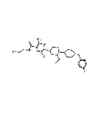 CC[C@H]1CN(c2nc(N)c(C(=O)NCCN)nc2Cl)CCN1C1CCN(Cc2ccc(C)cc2)CC1